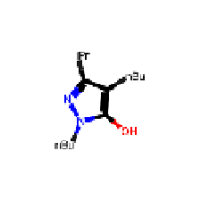 CCCCc1c(C(C)C)nn(CCCC)c1O